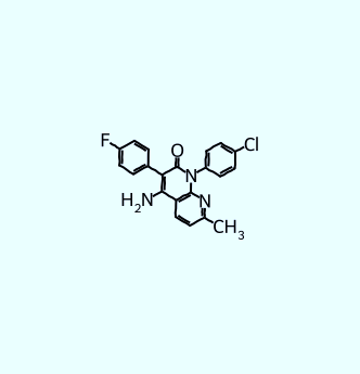 Cc1ccc2c(N)c(-c3ccc(F)cc3)c(=O)n(-c3ccc(Cl)cc3)c2n1